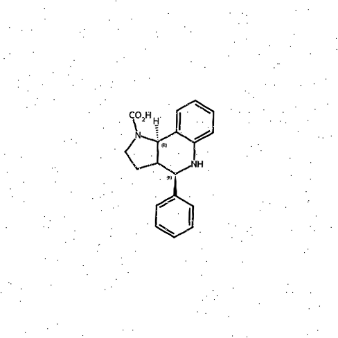 O=C(O)N1CCC2[C@H](c3ccccc3)Nc3ccccc3[C@@H]21